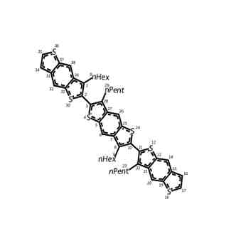 CCCCCCc1c(-c2sc3cc4c(CCCCCC)c(-c5sc6cc7ccsc7cc6c5CCCCC)sc4cc3c2CCCCC)sc2cc3ccsc3cc12